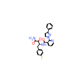 NC(=O)C(=O)C(Cc1ccc(F)cc1)NC(=O)c1cccnc1-n1ccc(-c2ccccc2)n1